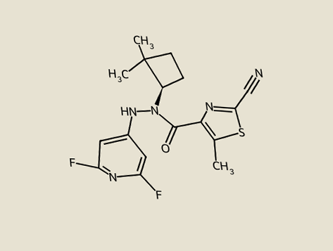 Cc1sc(C#N)nc1C(=O)N(Nc1cc(F)nc(F)c1)[C@@H]1CCC1(C)C